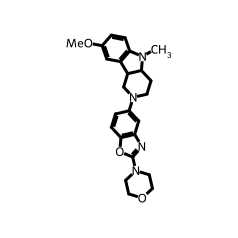 COc1ccc2c(c1)C1CN(c3ccc4oc(N5CCOCC5)nc4c3)CCC1N2C